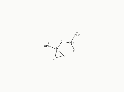 CCCN(C)CC1(CCC)CC1